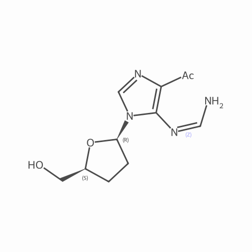 CC(=O)c1ncn([C@H]2CC[C@@H](CO)O2)c1/N=C\N